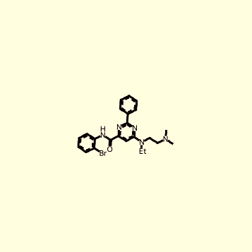 CCN(CCN(C)C)c1cc(C(=O)Nc2ccccc2Br)nc(-c2ccccc2)n1